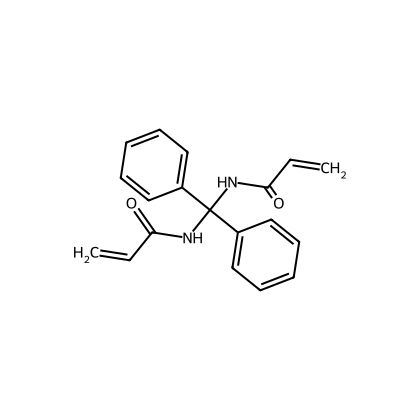 C=CC(=O)NC(NC(=O)C=C)(c1ccccc1)c1ccccc1